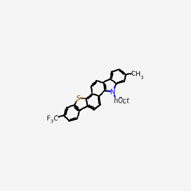 CCCCCCCCn1c2cc(C)ccc2c2ccc3c(ccc4c5ccc(C(F)(F)F)cc5sc43)c21